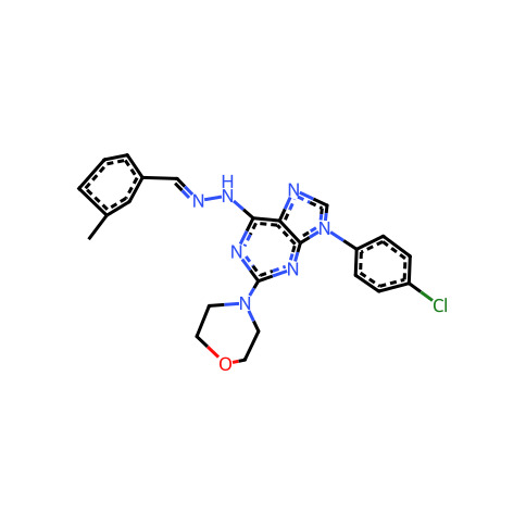 Cc1cccc(/C=N/Nc2nc(N3CCOCC3)nc3c2ncn3-c2ccc(Cl)cc2)c1